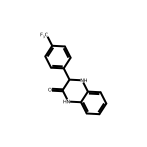 O=C1Nc2ccccc2NC1c1ccc(C(F)(F)F)cc1